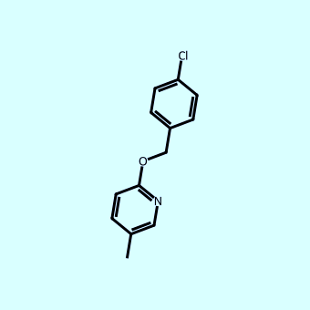 Cc1ccc(OCc2ccc(Cl)cc2)nc1